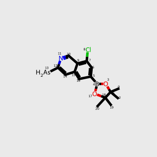 CC1(C)OB(c2cc(Cl)c3cnc([AsH2])cc3c2)OC1(C)C